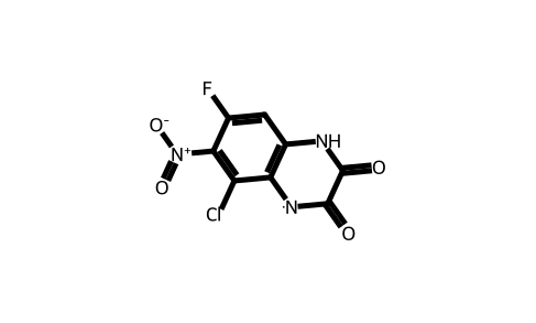 O=C1[N]c2c(cc(F)c([N+](=O)[O-])c2Cl)NC1=O